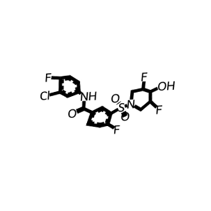 O=C(Nc1ccc(F)c(Cl)c1)c1ccc(F)c(S(=O)(=O)N2CC(F)C(O)C(F)C2)c1